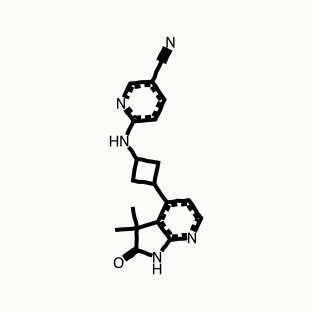 CC1(C)C(=O)Nc2nccc(C3CC(Nc4ccc(C#N)cn4)C3)c21